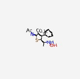 CC(=O)N=C1SC(=C(C)NO)C(c2ccccc2)=C1C(=O)O